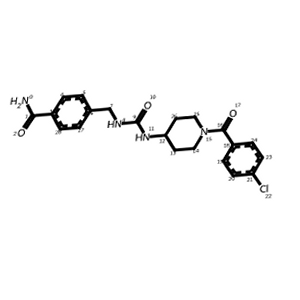 NC(=O)c1ccc(CNC(=O)NC2CCN(C(=O)c3ccc(Cl)cc3)CC2)cc1